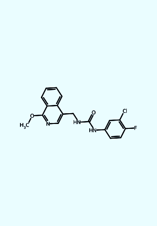 COc1ncc(CNC(=O)Nc2ccc(F)c(Cl)c2)c2ccccc12